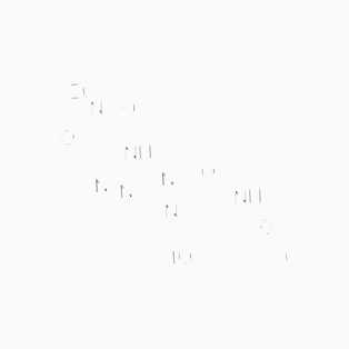 CCOc1cc(O)c(N=Nc2nnc(C(=O)N(CC)CC)[nH]2)c(=O)[nH]1